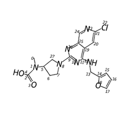 CN(C(=O)O)C1CCN(c2nc(NCc3ccco3)c3cc(Cl)ncc3n2)C1